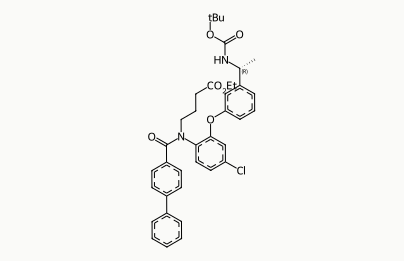 CCOC(=O)CCCN(C(=O)c1ccc(-c2ccccc2)cc1)c1ccc(Cl)cc1Oc1cccc([C@@H](C)NC(=O)OC(C)(C)C)c1